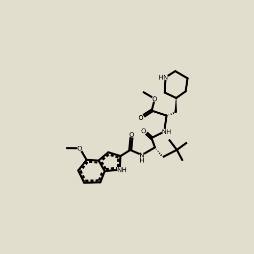 COC(=O)[C@H](C[C@@H]1CCCNC1)NC(=O)[C@H](CC(C)(C)C)NC(=O)c1cc2c(OC)cccc2[nH]1